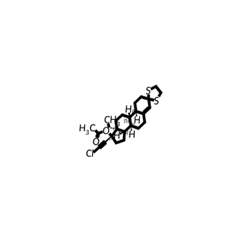 CC[C@]12CC[C@H]3[C@@H](CCC4=CC5(CC[C@@H]43)SCCS5)[C@@H]1CC[C@]2(C#CCl)OC(C)=O